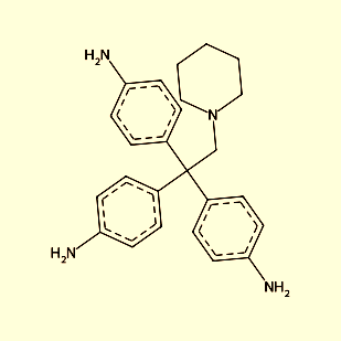 Nc1ccc(C(CN2CCCCC2)(c2ccc(N)cc2)c2ccc(N)cc2)cc1